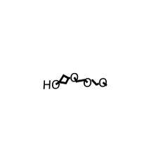 COCCOCCOC1CC(O)C1